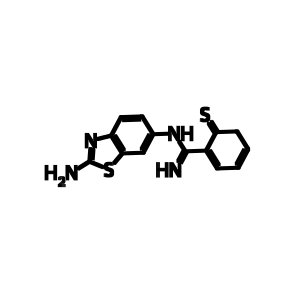 N=C(Nc1ccc2nc(N)sc2c1)C1=CC=CCC1=S